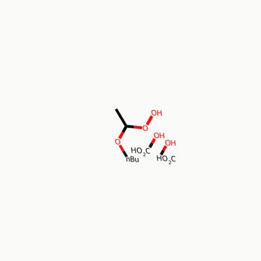 CCCCOC(C)OO.O=C(O)O.O=C(O)O